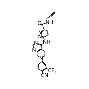 C#CCNC(=O)c1ccc(Nc2ncnc3c2CCN(c2ccc(C#N)c(C(F)(F)F)c2)C3)nn1